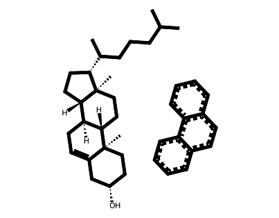 CC(C)CCCC(C)[C@H]1CC[C@H]2[C@@H]3CC=C4C[C@@H](O)CC[C@]4(C)[C@H]3CC[C@]12C.c1ccc2c(c1)ccc1ccccc12